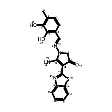 Cc1ccc(/C=N/N2CC(=O)C(c3nc4ccccc4s3)=C2N)c(O)c1O